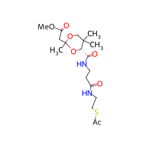 COC(=O)CC1(C)OCC(C)(C)[C@H](C(=O)NCCC(=O)NCCSC(C)=O)O1